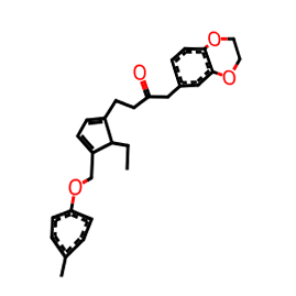 CCC1C(CCC(=O)Cc2ccc3c(c2)OCCO3)=CC=C1COc1ccc(C)cc1